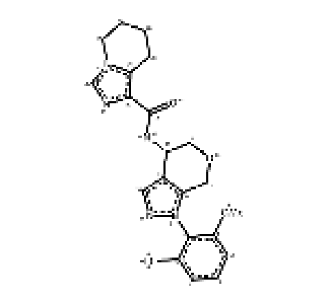 COc1cccc(C)c1-n1ncc2c1COC[C@H]2NC(=O)c1ncn2c1CCCC2